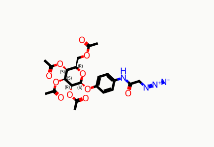 CC(=O)OC[C@H]1O[C@@H](Oc2ccc(NC(=O)CN=[N+]=[N-])cc2)[C@H](OC(C)=O)[C@@H](OC(C)=O)[C@H]1OC(C)=O